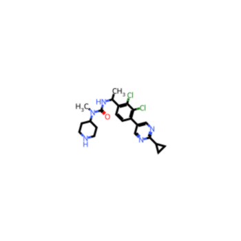 CC(NC(=O)N(C)C1CCNCC1)c1ccc(-c2cnc(C3CC3)nc2)c(Cl)c1Cl